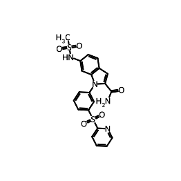 CS(=O)(=O)Nc1ccc2cc(C(N)=O)n(-c3cccc(S(=O)(=O)c4ccccn4)c3)c2c1